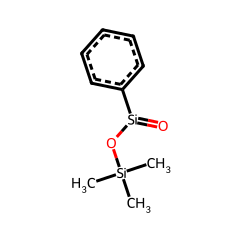 C[Si](C)(C)O[Si](=O)c1ccccc1